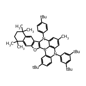 Cc1cc2c3c(c1)N(c1ccc(C(C)(C)C)cc1)c1c(oc4cc5c(cc14)C(C)(C)CCC5(C)C)B3c1cc(C(C)(C)C)ccc1N2c1cc(C(C)(C)C)cc(C(C)(C)C)c1